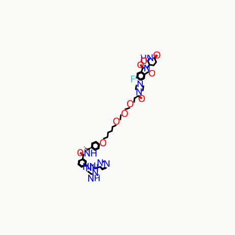 C[C@@H](NC(=O)c1cccc(NCC(=N)N(C)C(=N)c2ccncn2)c1)c1ccc(OCCCCCCOCCOCCOCCC(=O)N2CCN(c3cc4c(cc3F)C(=O)N(C3CCC(=O)NC3=O)C4=O)CC2)cc1